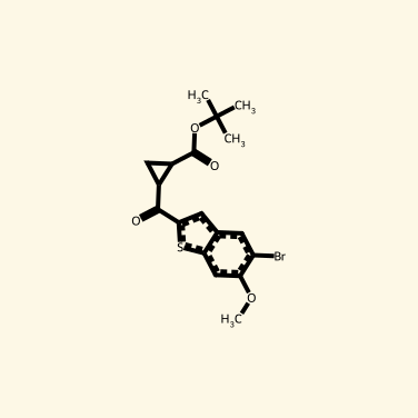 COc1cc2sc(C(=O)C3CC3C(=O)OC(C)(C)C)cc2cc1Br